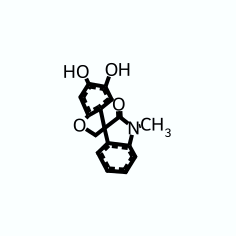 CN1C(=O)C2(COc3cc(O)c(O)cc32)c2ccccc21